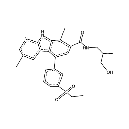 CCS(=O)(=O)c1cccc(-c2cc(C(=O)NCC(C)CO)c(C)c3[nH]c4ncc(C)cc4c23)c1